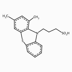 Cc1cc(C)c2c(c1)Sc1ccccc1N2CCCS(=O)(=O)O